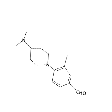 CN(C)C1CCN(c2ccc(C=O)cc2I)CC1